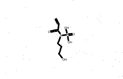 C=CC(=O)N(CCCO)P(=O)(O)O